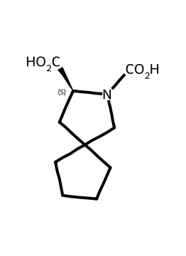 O=C(O)[C@@H]1CC2(CCCC2)CN1C(=O)O